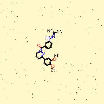 CCOc1ccc(C2=NN(C(=O)c3cccc(NN=C(C#N)C#N)c3)CCC2)cc1OCC